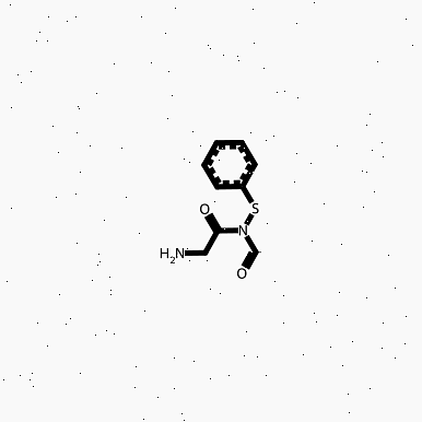 NCC(=O)N([C]=O)Sc1ccccc1